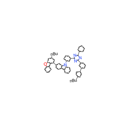 CCCCc1ccc(-c2cccc(-c3nc(-c4ccccc4)nc(-c4cccc(-n5c6ccccc6c6ccc(-c7cc(CCCC)cc8oc9ccccc9c78)cc65)c4)n3)c2)cc1